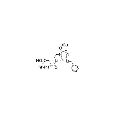 CCCCC[C@H](CC(=O)O)C(=O)N1CCN(C(=O)OC(C)(C)C)[C@H](C(=O)OCc2ccccc2)C1